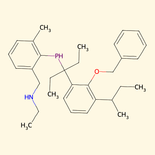 CCNCc1cccc(C)c1PC(CC)(CC)c1cccc(C(C)CC)c1OCc1ccccc1